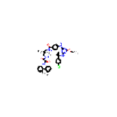 COc1ccccc1-c1ccccc1NC(=O)C(=O)NCC(C)(C)CNC(=O)c1ccc(Nc2nc(NC3(c4ccc(Cl)cc4)CC3)nc(OCC(F)(F)F)n2)cc1